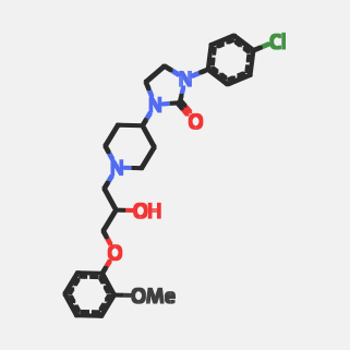 COc1ccccc1OCC(O)CN1CCC(N2CCN(c3ccc(Cl)cc3)C2=O)CC1